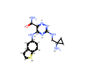 NC(=O)c1nnc(NCC2(N)CC2)nc1Nc1ccc2sccc2c1